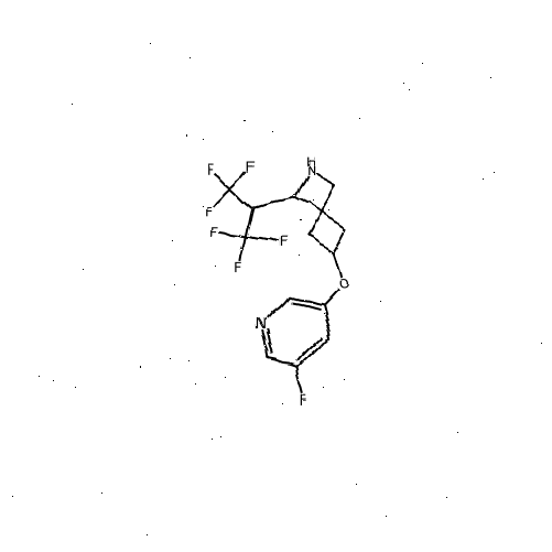 Fc1cncc(OC2CC3(CNC3C(C(F)(F)F)C(F)(F)F)C2)c1